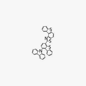 c1ccc2c(c1)sc1c(-c3nc4c(ccc5sc6ccccc6c54)s3)ccc(-n3c4ccccc4c4ccccc43)c12